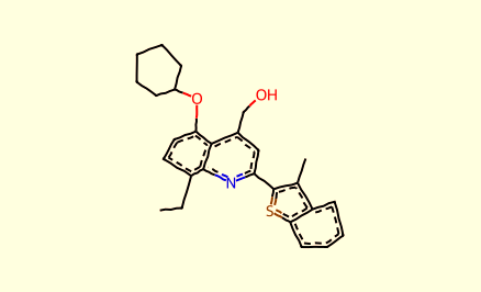 CCc1ccc(OC2CCCCC2)c2c(CO)cc(-c3sc4ccccc4c3C)nc12